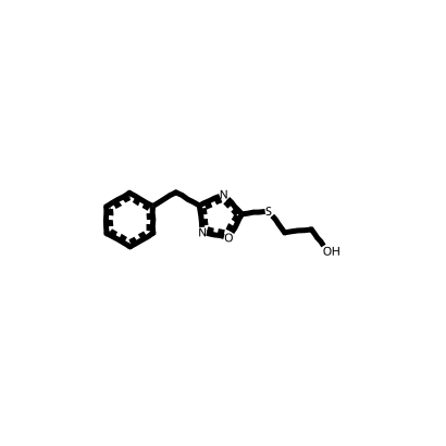 OCCSc1nc(Cc2ccccc2)no1